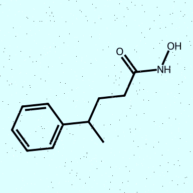 CC(CCC(=O)NO)c1ccccc1